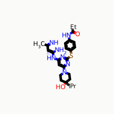 CCC(=O)Nc1ccc(Sc2nc(N/C(N)=C/C(C)=N)cc(N3CCC(O)(C(C)C)CC3)n2)cc1